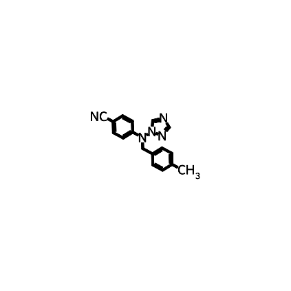 Cc1ccc(CN(c2ccc(C#N)cc2)n2cncn2)cc1